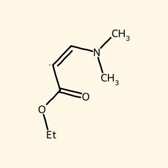 CCOC(=O)/[C]=C\N(C)C